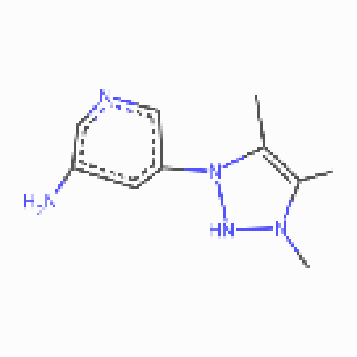 CC1=C(C)N(c2cncc(N)c2)NN1C